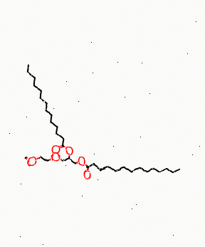 CCCCCCCCCCCCCC(=O)OCC(COCCOC)OC(=O)CCCCCCCCCCCCC